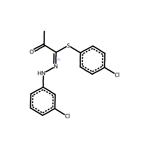 CC(=O)/C(=N\Nc1cccc(Cl)c1)Sc1ccc(Cl)cc1